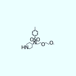 COCCOCCN(C1CCNCC1)S(=O)(=O)c1ccc(C)cc1